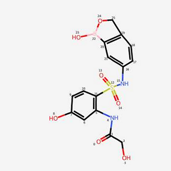 O=C(CO)Nc1cc(O)ccc1S(=O)(=O)Nc1ccc2c(c1)B(O)OC2